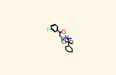 C/C(=N/N(C=O)CC(=O)c1cccc(F)c1)C(C)(C)C1CCCCC1